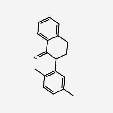 Cc1ccc(C)c(C2CCc3ccccc3C2=O)c1